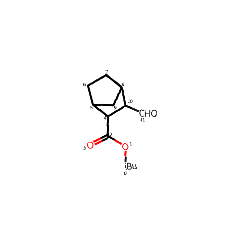 CCC(C)OC(=O)C1C2CCC(C2)C1C=O